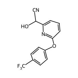 N#CC(O)c1cccc(Oc2ccc(C(F)(F)F)cc2)n1